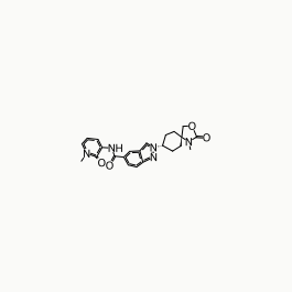 Cn1cccc(NC(=O)c2ccc3nn([C@H]4CC[C@@]5(CC4)COC(=O)N5C)cc3c2)c1=O